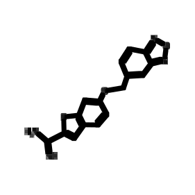 N=C(N)c1cc2ccc(OCc3ccc4nonc4c3)cc2s1